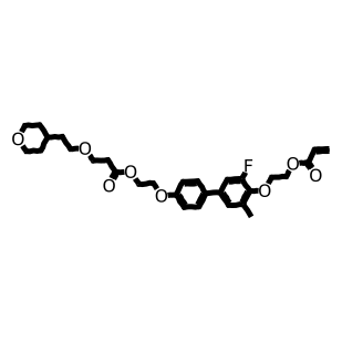 C=CC(=O)OCCOc1c(C)cc(-c2ccc(OCCOC(=O)CCOCCC3CCOCC3)cc2)cc1F